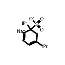 CC(C)C1=CC=CC(C(C)C)(S(=O)(=O)[O-])C1.[Na+]